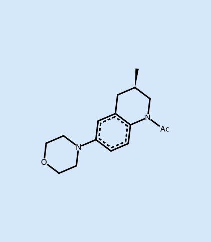 CC(=O)N1C[C@H](C)Cc2cc(N3CCOCC3)ccc21